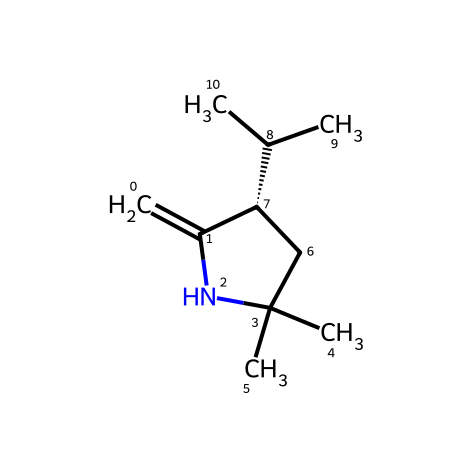 C=C1NC(C)(C)C[C@H]1C(C)C